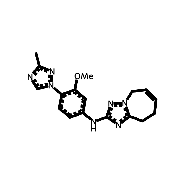 COc1cc(Nc2nc3n(n2)CC=CCC3)ccc1-n1cnc(C)n1